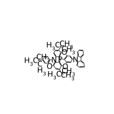 CC(C)(C)c1ccc2c(c1)oc1cc(C(C)(C)C)c3oc4cc(-n5c6ccccc6c6ccccc65)cc5oc6c(C(C)(C)C)ccc7c6p(c54)c3c1n27